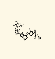 COCCN(Cc1cnc(-c2cc3nccc(Oc4ccc(NC(=O)NC5CC5)cc4F)c3s2)n1C)C(=O)NC(C)C